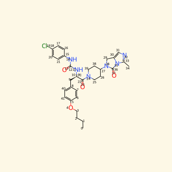 CCCCOc1ccc(C[C@@H](NC(=O)Nc2ccc(Cl)cc2)C(=O)N2CCC(N3Cc4cnc(C)n4C3=O)CC2)cc1